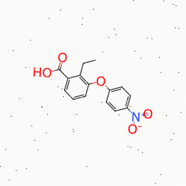 CCc1c(Oc2ccc([N+](=O)[O-])cc2)cccc1C(=O)O